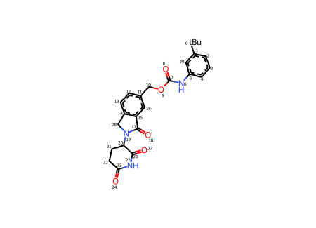 CC(C)(C)c1cccc(NC(=O)OCc2ccc3c(c2)C(=O)N(C2CCC(=O)NC2=O)C3)c1